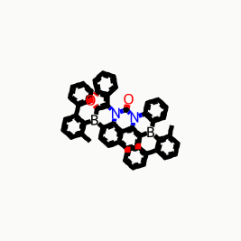 Cc1cccc(-c2ccccc2)c1B1c2ccccc2N2C(=O)N3c4c(oc5ccccc45)B(c4c(C)cccc4-c4ccccc4)c4ccc5ccc1c2c5c43